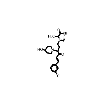 CC1C(=O)NCCN1CCC(C(=O)/C=C/c1cccc(Cl)c1)N1CCC(O)CC1